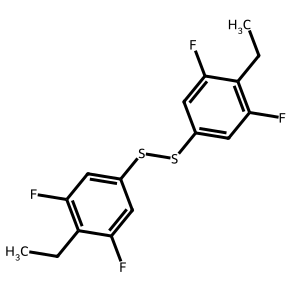 CCc1c(F)cc(SSc2cc(F)c(CC)c(F)c2)cc1F